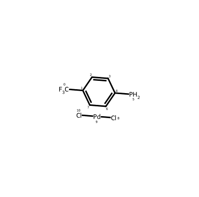 FC(F)(F)c1ccc(P)cc1.[Cl][Pd][Cl]